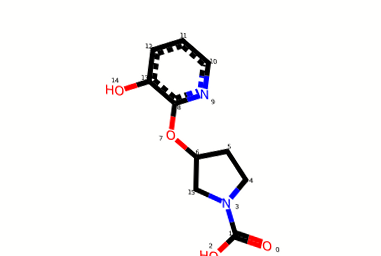 O=C(O)N1CCC(Oc2ncccc2O)C1